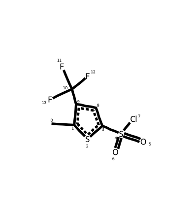 Cc1sc(S(=O)(=O)Cl)cc1C(F)(F)F